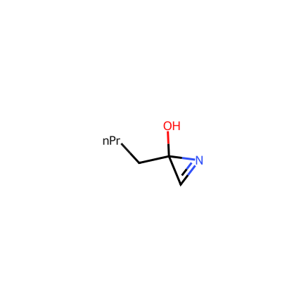 CCCCC1(O)C=N1